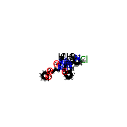 CCn1c(=O)n(CCCOC2CCCCO2)c(=O)c2c1nc(-c1ccc(Cl)nc1C)n2Cc1ccccc1